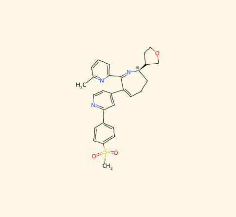 Cc1cccc(C2=N[C@@H](C3CCOC3)CCC=C2c2ccnc(-c3ccc(S(C)(=O)=O)cc3)c2)n1